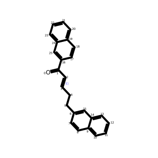 O=C(/C=C/CCc1ccc2ccccc2c1)c1ccc2ccccc2c1